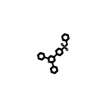 O=S(=O)(Cc1ccccc1)c1ccc(-c2cc(-c3ccccc3)nc(-c3ccccc3)c2)cc1